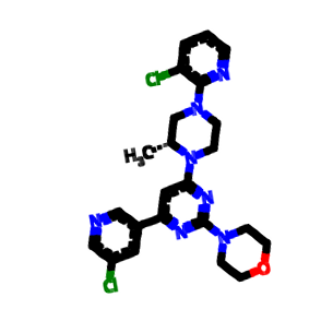 C[C@@H]1CN(c2ncccc2Cl)CCN1c1cc(-c2cncc(Cl)c2)nc(N2CCOCC2)n1